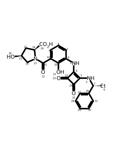 CC[C@@H](Nc1c(Nc2cccc(C(=O)N3C[C@@H](O)C[C@H]3C(=O)O)c2O)c(=O)c1=O)c1ccccc1